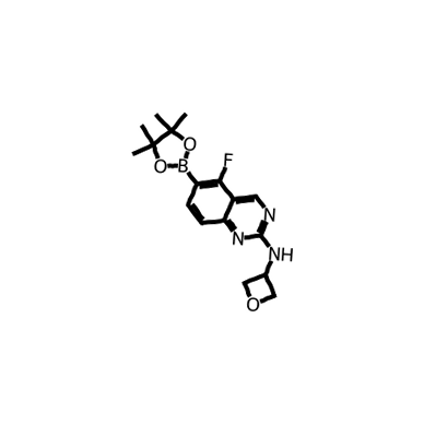 CC1(C)OB(c2ccc3nc(NC4COC4)ncc3c2F)OC1(C)C